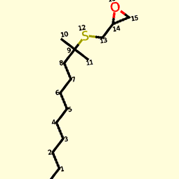 CCCCCCCCCC(C)(C)SCC1CO1